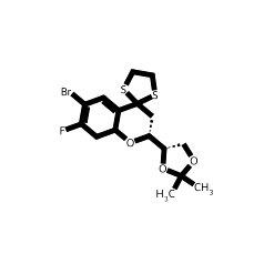 CC1(C)OC[C@@H]([C@H]2CC3(SCCS3)C3=CC(Br)=C(F)CC3O2)O1